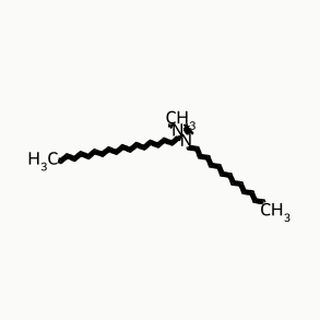 CCCCCCCCCCCCCCCCCCc1n(CCCCCCCCCCCCCCC)cc[n+]1CC